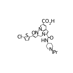 CC(C)N1CCC(NC(=O)c2cc3cc(C(=O)O)cnc3n2Cc2cc(-c3ccc(Cl)s3)on2)CC1